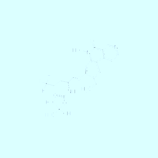 C=Cc1cc2c3ccncc3c(=O)n(C)c2cc1OCC(CCC(F)(F)F)NC(=O)OC(C)(C)C